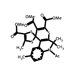 COC(=O)C1=C(C)SC2(S1)C(C(=O)OC)=C(C(=O)OC)SC1=C2c2cc(C)ccc2N(C(C)=O)C1(C)C